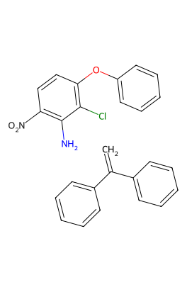 C=C(c1ccccc1)c1ccccc1.Nc1c([N+](=O)[O-])ccc(Oc2ccccc2)c1Cl